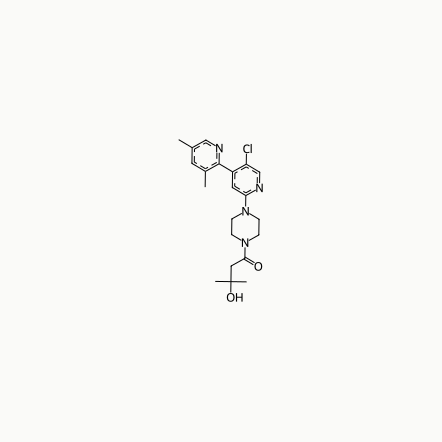 Cc1cnc(-c2cc(N3CCN(C(=O)CC(C)(C)O)CC3)ncc2Cl)c(C)c1